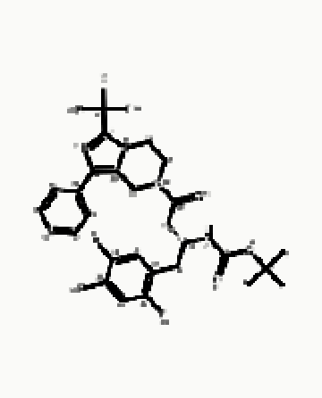 CC(C)(C)OC(=O)N[C@@H](CC(=O)N1CCn2c(C(F)(F)F)nc(-c3ccncc3)c2C1)Cc1cc(F)c(F)cc1F